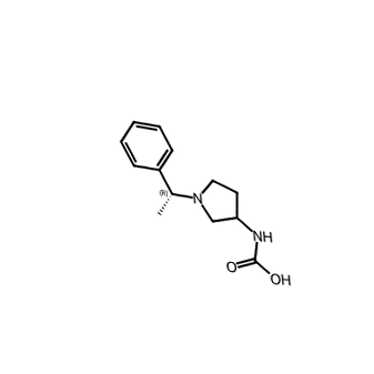 C[C@H](c1ccccc1)N1CCC(NC(=O)O)C1